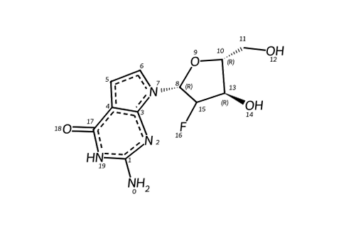 Nc1nc2c(ccn2[C@@H]2O[C@H](CO)[C@@H](O)C2F)c(=O)[nH]1